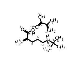 C=C(C)C(=O)O.C=C(CCCNC(C)(C)C)C(=O)O